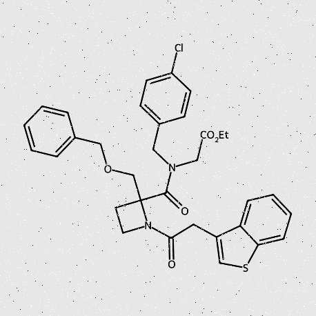 CCOC(=O)CN(Cc1ccc(Cl)cc1)C(=O)C1(COCc2ccccc2)CCN1C(=O)Cc1csc2ccccc12